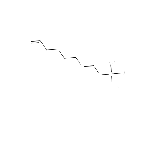 C=CCOCCSCO[Si](C)(C)C